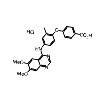 COc1cc2ncnc(Nc3ccc(Oc4ccc(C(=O)O)cc4)c(C)c3)c2cc1OC.Cl